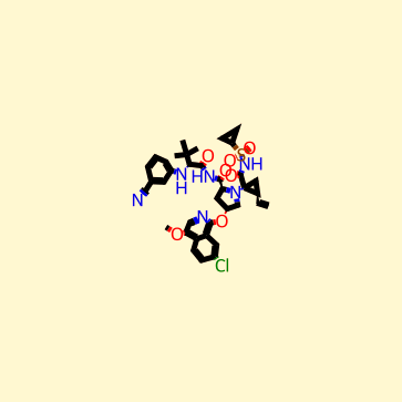 C=C[C@@H]1C[C@@]1(C(=O)NS(=O)(=O)C1CC1)N1C[C@H](Oc2ncc(OC)c3ccc(Cl)cc23)C[C@H]1C(=O)NC(=O)[C@H](Nc1cccc(C#N)c1)C(C)(C)C